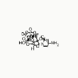 Nc1ccn([C@@H]2O[C@@H]3C(OP(=O)(O)OP(=O)(O)OP(=O)(O)O)[C@]3(O)[C@]2(O)CF)c(=O)n1